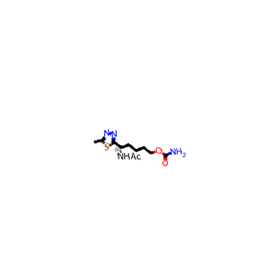 CC(=O)N[C@@H](CCCCOC(N)=O)c1nnc(C)s1